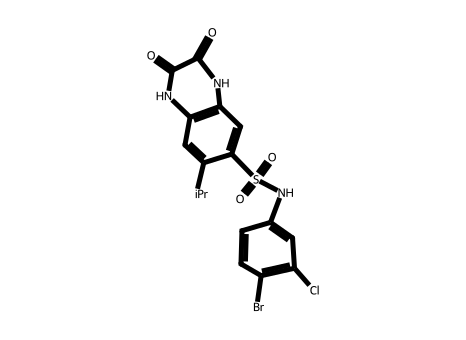 CC(C)c1cc2[nH]c(=O)c(=O)[nH]c2cc1S(=O)(=O)Nc1ccc(Br)c(Cl)c1